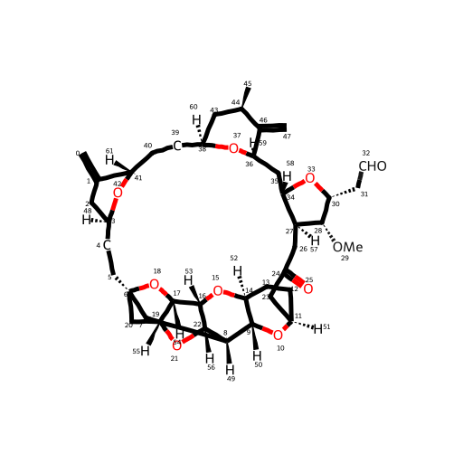 C=C1C[C@@H]2CC[C@@]34C[C@H]5[C@H]6O[C@H](CC[C@@H]6O[C@H]6[C@@H](O3)[C@@H](C4)O[C@@H]56)CC(=O)C[C@@H]3[C@@H](OC)[C@@H](CC=O)O[C@H]3C[C@H]3O[C@@H](CC[C@@H]1O2)C[C@@H](C)C3=C